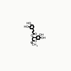 COC(=O)CC(OC(=O)C=Cc1ccc(O)c(O)c1)c1ccc(O)c(O)c1